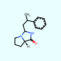 CC(CC1NC(=O)[C@@H]2CCCN12)c1ccccc1